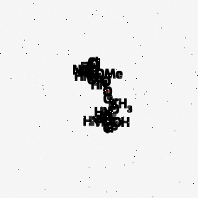 COc1cc(C(=O)NCCOCCOCCN(C)C(=O)CCNc2nc(N3CCNCC3)c3cc(Cl)c(C4=C(F)C=CC[C@]4(C)O)c(F)c3n2)ccc1NC(=O)[C@@H]1N[C@@H](CC(C)(C)C)[C@](C#N)(c2ccc(Cl)cc2F)[C@H]1c1cccc(Cl)c1F